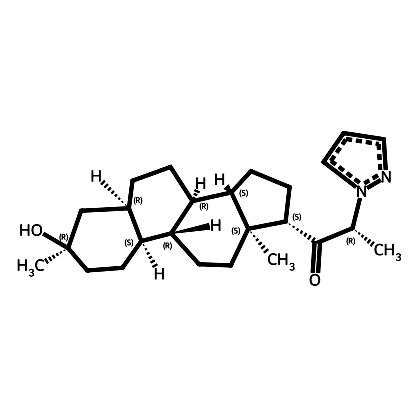 C[C@H](C(=O)[C@H]1CC[C@H]2[C@@H]3CC[C@@H]4C[C@](C)(O)CC[C@@H]4[C@H]3CC[C@]12C)n1cccn1